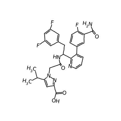 CC(C)c1cc(C(=O)O)nn1CC(=O)NC(Cc1cc(F)cc(F)c1)c1ncccc1-c1ccc(F)c(C(N)=O)c1